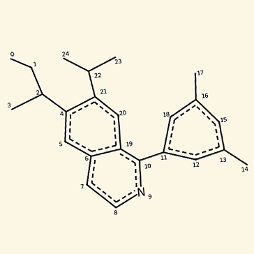 CCC(C)c1cc2ccnc(-c3cc(C)cc(C)c3)c2cc1C(C)C